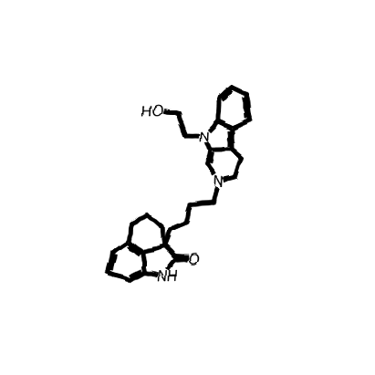 O=C1Nc2cccc3c2C1(CCCCN1C=C2C(=C4C=CC=CC4N2CCO)CC1)CCC3